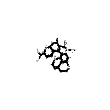 CC(=O)[C@@H](OC(C)(C)C)c1c(C)cc2nc(C(F)F)ccc2c1-c1ccc2c3c(ccnc13)CCO2